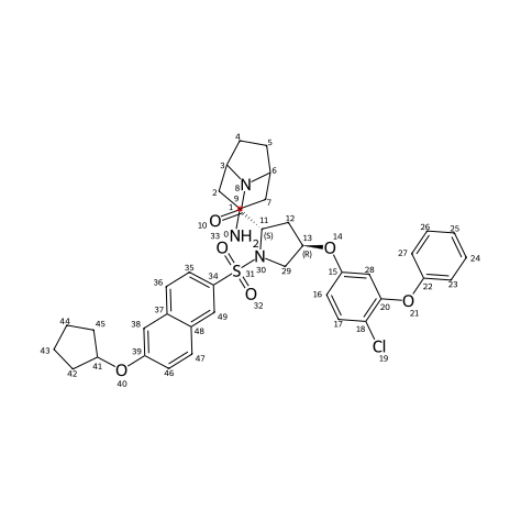 NC1CC2CCC(C1)N2C(=O)[C@@H]1C[C@@H](Oc2ccc(Cl)c(Oc3ccccc3)c2)CN1S(=O)(=O)c1ccc2cc(OC3CCCC3)ccc2c1